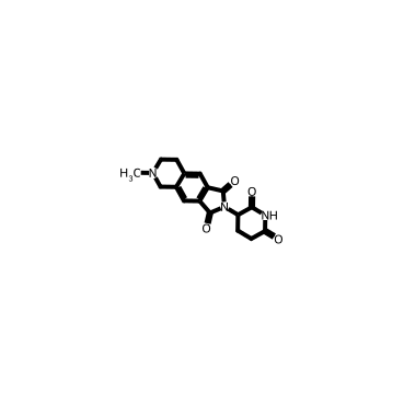 CN1CCc2cc3c(cc2C1)C(=O)N(C1CCC(=O)NC1=O)C3=O